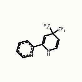 FC(F)(F)C1(C(F)(F)F)C=CNC(c2ccccn2)=C1